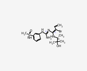 C=C/C(Br)=C(\N=C(/N)Nc1cccc(S(C)(=N)=O)c1)N[C@H](C)C(C)(C)O